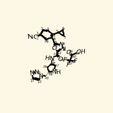 N#Cc1ccc(C2CC2)c(-c2nnc(C(=O)N[C@H]3CN[C@H](Cn4ccnn4)C3)o2)c1.O=C(O)C(F)(F)F